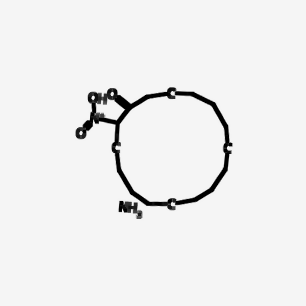 N.O=C1CCCCCCCCCCCCCCC1[N+](=O)O